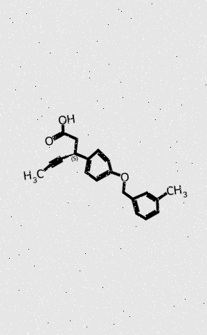 CC#C[C@@H](CC(=O)O)c1ccc(OCc2cccc(C)c2)cc1